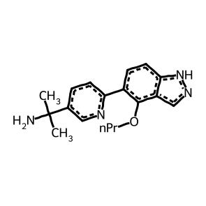 CCCOc1c(-c2ccc(C(C)(C)N)cn2)ccc2[nH]ncc12